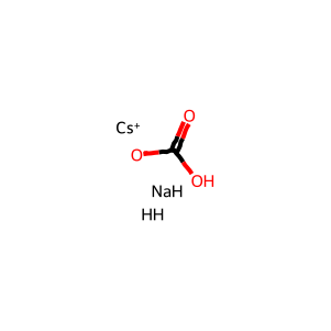 O=C([O-])O.[Cs+].[HH].[NaH]